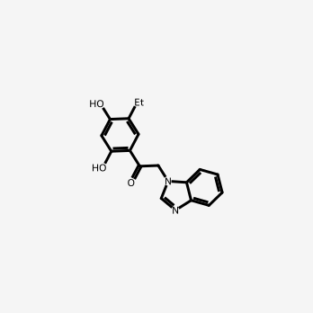 CCc1cc(C(=O)Cn2cnc3ccccc32)c(O)cc1O